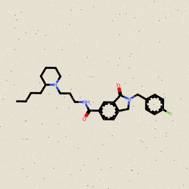 CCCCC1CCCCN1CCCNC(=O)c1ccc2c(c1)C(=O)N(Cc1ccc(F)cc1)C2